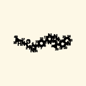 O=C(Cn1cc(-c2ccc(-c3cnc4nnc(C5(c6ccc7ncccc7c6)CC5)n4n3)cc2)cn1)NCC1CC1